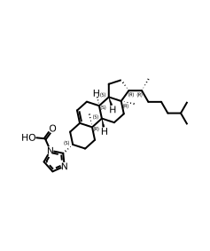 CC(C)CCC[C@@H](C)[C@H]1CC[C@H]2[C@@H]3CC=C4C[C@@H](c5nccn5C(=O)O)CC[C@]4(C)[C@H]3CC[C@]12C